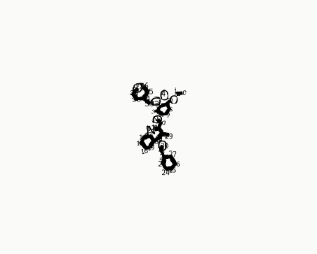 CCOC(=O)c1ccc(OCc2nc3ccccc3c(OCc3ccccc3)c2C)cc1OCC1CCOCC1